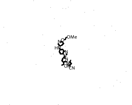 COCCOc1ccc(Nc2ccc3c(c2)ncn3-c2ccc(C(C)O)c(-n3nc(C#N)cc3C)n2)cn1